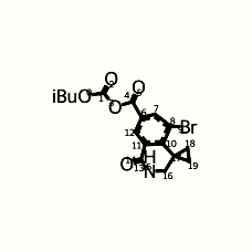 CC(C)COC(=O)OC(=O)c1cc(Br)c2c(c1)C(=O)NCC21CC1